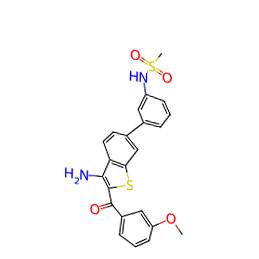 COc1cccc(C(=O)c2sc3cc(-c4cccc(NS(C)(=O)=O)c4)ccc3c2N)c1